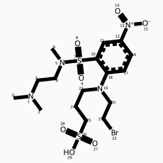 CN(C)CCN(C)S(=O)(=O)c1cc([N+](=O)[O-])ccc1N(CCBr)CCCS(=O)(=O)O